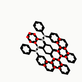 c1ccc([N+](=C2CC(=[N+](c3ccccc3)P(c3ccccc3)c3ccccc3)C(=[N+](c3ccccc3)P(c3ccccc3)c3ccccc3)CC2=[N+](c2ccccc2)P(c2ccccc2)c2ccccc2)P(c2ccccc2)c2ccccc2)cc1